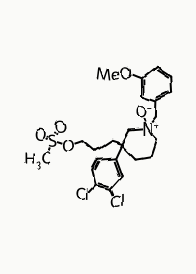 COc1cccc(C[N+]2([O-])CCCC(CCCOS(C)(=O)=O)(c3ccc(Cl)c(Cl)c3)C2)c1